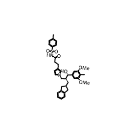 COc1cc([C@@H](O)[C@@H](CC2Cc3ccccc3C2)Cn2ccc(CCC(=O)NS(=O)(=O)c3ccc(C)cc3)c2)cc(OC)c1C